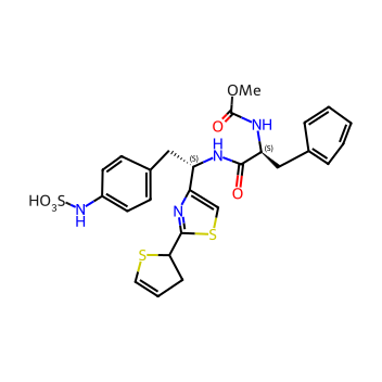 COC(=O)N[C@@H](Cc1ccccc1)C(=O)N[C@@H](Cc1ccc(NS(=O)(=O)O)cc1)c1csc(C2CC=CS2)n1